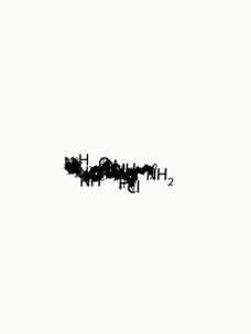 C[C@H](N)CCCc1cc(Cl)c(F)c(-c2cc3cn(-c4ccc(C(=N)NCc5ccncc5)cc4)c(=O)nc3[nH]2)c1